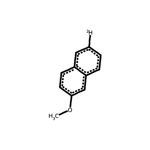 [2H]c1ccc2cc(OC)ccc2c1